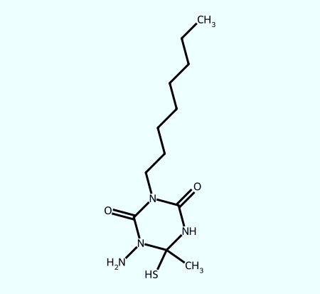 CCCCCCCCN1C(=O)NC(C)(S)N(N)C1=O